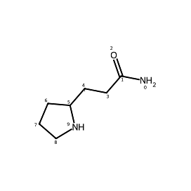 NC(=O)C[CH]C1CCCN1